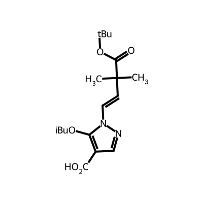 CC(C)COc1c(C(=O)O)cnn1/C=C/C(C)(C)C(=O)OC(C)(C)C